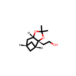 CC1(C)O[C@H]2C[C@H]3C[C@H](C3)[C@@]2(CCO)O1